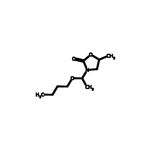 CCCCOC(C)N1CC(C)OC1=O